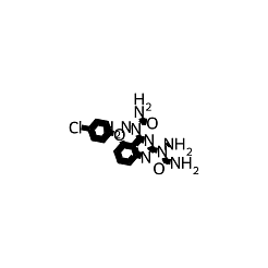 NC(=O)N(N)c1nc(N(N)C(N)=O)c2c(Oc3ccc(Cl)cc3)cccc2n1